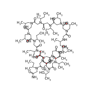 CCC(C)NCC(=O)N(CC(=O)N(CC(=O)N(CC(=O)N(CC(=O)N(CC(=O)N(CC(=O)N(CC(=O)N(CC(=O)N(CC(=O)N(CC(=O)N(CC(=O)N(CC(=O)N(CC(=O)N(CC(=O)N(CC(N)=O)C(C)CC)CC(C)O)CC(C)O)C(C)CC)C(C)CC)CC(C)O)CC(C)O)C(C)CC)C(C)CC)CC(C)O)CC(C)O)C(C)CC)C(C)CC)CC(C)O)CC(C)O